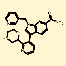 NC(=O)c1ccc2c(-c3cccnc3C3CNCCO3)cn(Cc3cccnc3)c2c1